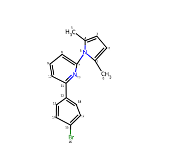 Cc1ccc(C)n1-c1cccc(-c2ccc(Br)cc2)n1